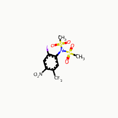 CS(=O)(=O)N(c1cc(C(F)(F)F)c([N+](=O)[O-])cc1I)S(C)(=O)=O